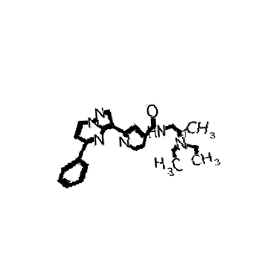 CCN(CC)[C@@H](C)CNC(=O)c1ccnc(-c2cnn3ccc(-c4ccccc4)nc23)c1